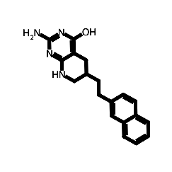 Nc1nc(O)c2c(n1)NCC(CCc1ccc3ccccc3c1)C2